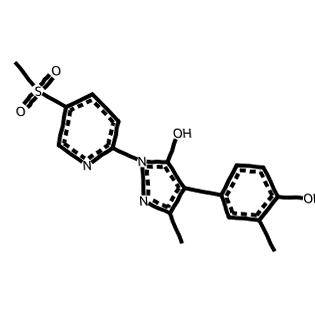 Cc1cc(-c2c(C)nn(-c3ccc(S(C)(=O)=O)cn3)c2O)ccc1O